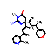 C=C(/C=C(\C)[C@]1(C(=C)/C=C(\C)C2=CCOCC2)CC(=O)N(C)C(N)=N1)c1cccnc1C